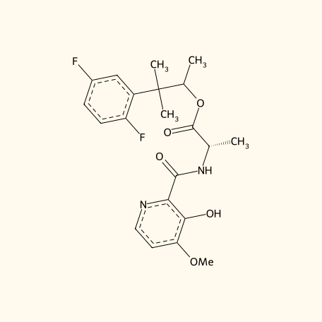 COc1ccnc(C(=O)N[C@@H](C)C(=O)OC(C)C(C)(C)c2cc(F)ccc2F)c1O